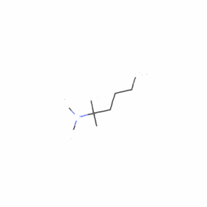 CCCCCCCCCCCCC(C)(CCCCCCC)N(C)C